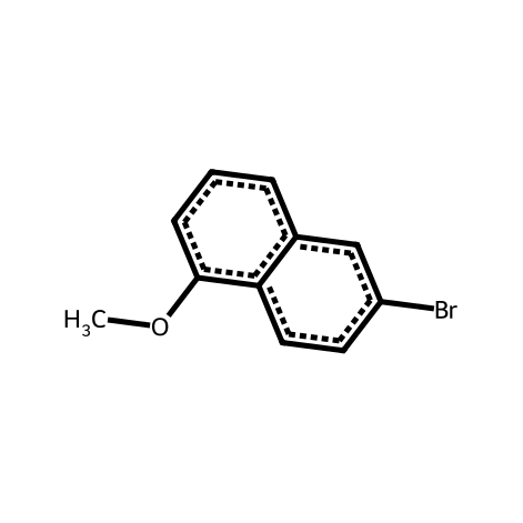 COc1cccc2cc(Br)ccc12